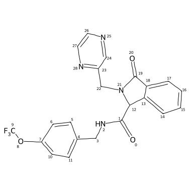 O=C(NCc1ccc(OC(F)(F)F)cc1)C1c2ccccc2C(=O)N1Cc1cnccn1